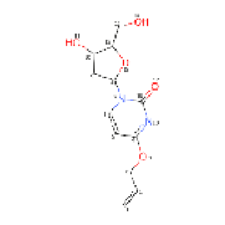 C=CCOc1ccn(C2CC(O)C(CO)O2)c(=O)n1